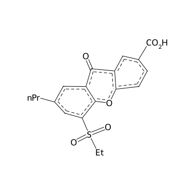 CCCc1cc(S(=O)(=O)CC)c2oc3ccc(C(=O)O)cc3c(=O)c2c1